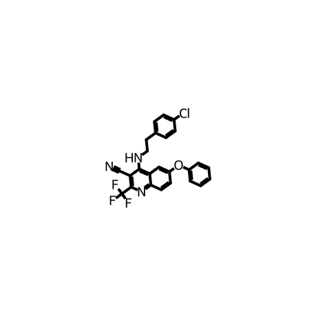 N#Cc1c(C(F)(F)F)nc2ccc(Oc3ccccc3)cc2c1NCCc1ccc(Cl)cc1